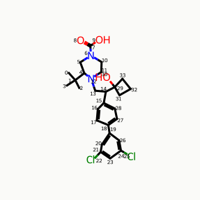 CC(C)(C)C1CN(C(=O)O)CCN1CC(c1ccc(-c2cc(Cl)cc(Cl)c2)cc1)C1(O)CCC1